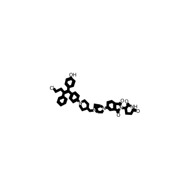 O=C1CCC(N2C(=O)c3ccc(N4CC5CC4CN5CC4CCN(c5ccc(C(=C(CCCl)c6ccccc6)c6ccc(O)cc6)cc5)CC4)cc3C2=O)C(=O)N1